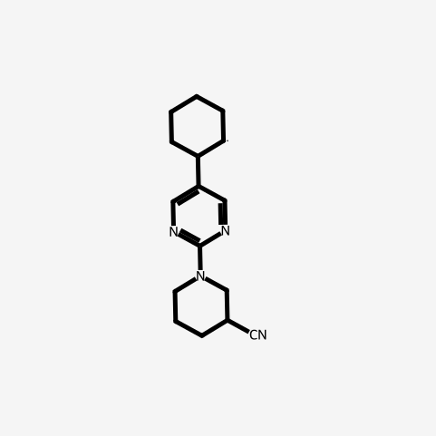 N#CC1CCCN(c2ncc(C3[CH]CCCC3)cn2)C1